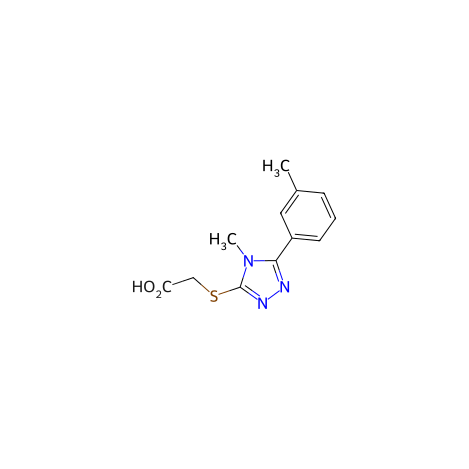 Cc1cccc(-c2nnc(SCC(=O)O)n2C)c1